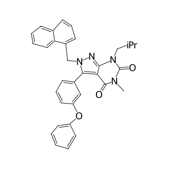 CC(C)Cn1c(=O)n(C)c(=O)c2c(-c3cccc(Oc4ccccc4)c3)n(Cc3cccc4ccccc34)nc21